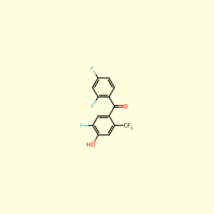 O=C(c1ccc(F)cc1F)c1cc(F)c(O)cc1C(F)(F)F